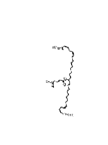 CCCCC/C=C\C/C=C\CCCCCCCCC(CCCCCCCC/C=C\C/C=C\CCCCC)OC(=O)CCCNC(C)C